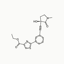 CCOC(=O)c1csc(-c2cccc(C#C[C@]3(O)CCN(C)C3=O)c2)n1